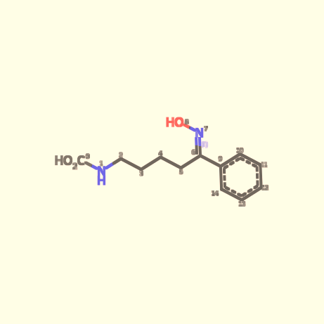 O=C(O)NCCCC/C(=N\O)c1ccccc1